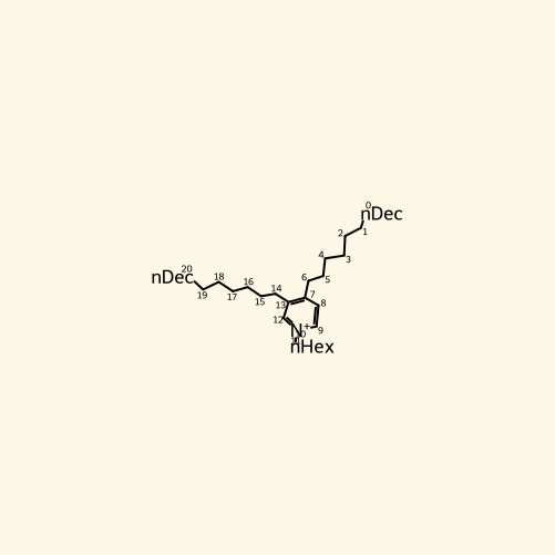 CCCCCCCCCCCCCCCCc1cc[n+](CCCCCC)cc1CCCCCCCCCCCCCCCC